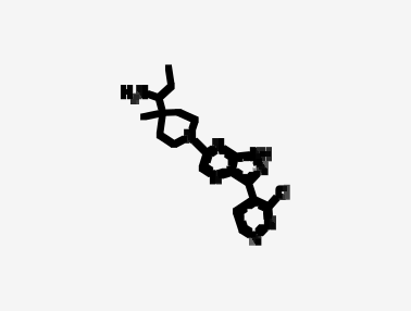 CCC(N)C1(C)CCN(c2cnc3c(-c4ccnnc4Cl)n[nH]c3n2)CC1